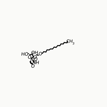 CCCCCCCCCCCCCCCCOCCO[C@@H]1[C@H](O)[C@@H](CO)O[C@H]1n1ccc(=O)[nH]c1=O